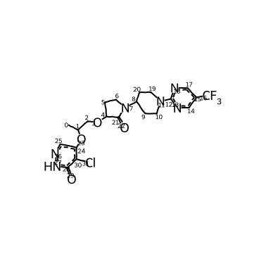 CC(COC1CCN(C2CCN(c3ncc(C(F)(F)F)cn3)CC2)C1=O)Oc1cn[nH]c(=O)c1Cl